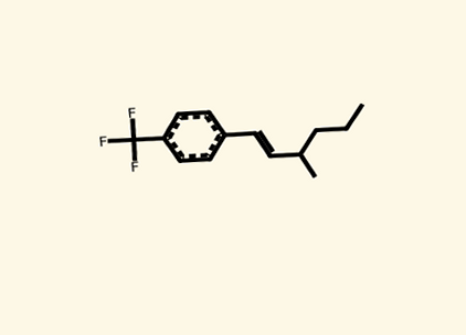 CCCC(C)/C=C/c1ccc(C(F)(F)F)cc1